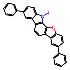 In1c2ccc(-c3ccccc3)cc2c2ccc3c4cc(-c5ccccc5)ccc4oc3c21